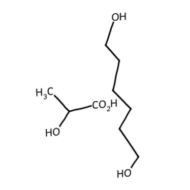 CC(O)C(=O)O.OCCCCCCO